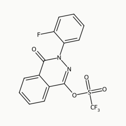 O=c1c2ccccc2c(OS(=O)(=O)C(F)(F)F)nn1-c1ccccc1F